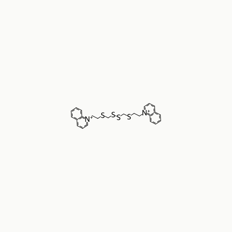 c1ccc2c(c1)ccc[n+]2CCSCSSCSCC[n+]1cccc2ccccc21